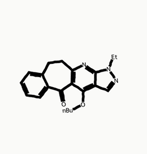 CCCCOc1c2c(nc3c1cnn3CC)CCc1ccccc1C2=O